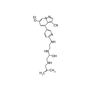 C=C(C)CNCC(O)NCCNc1ccc(-c2cc(OCC)cn3ncc(C#N)c23)cn1